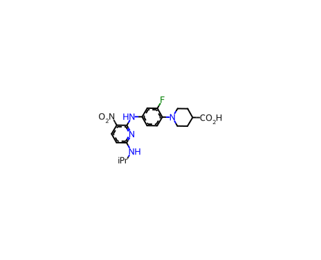 CC(C)Nc1ccc([N+](=O)[O-])c(Nc2ccc(N3CCC(C(=O)O)CC3)c(F)c2)n1